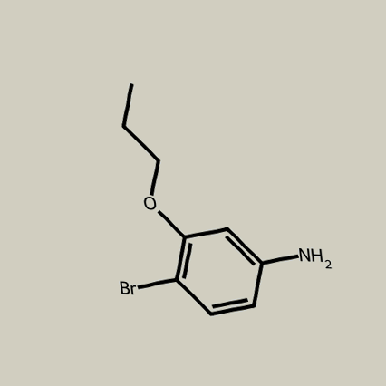 CCCOc1cc(N)ccc1Br